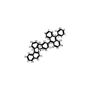 c1ccc(-c2c3ccccc3c(-c3ccc4c(c3)c3cccc5c6c7ccccc7ccc6n4c35)c3ccccc23)cc1